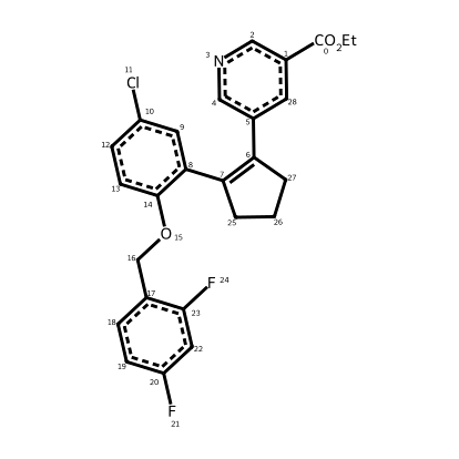 CCOC(=O)c1cncc(C2=C(c3cc(Cl)ccc3OCc3ccc(F)cc3F)CCC2)c1